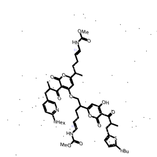 CCCCCCc1ccc(CC(C)C(=O)c2c(OCC(CC/C=C/NC(=O)OC)c3cc(O)c(C(=O)C(C)Cc4ccc(CCCC)s4)c(=O)o3)cc(C(C)CC/C=C/NC(=O)OC)oc2=O)cn1